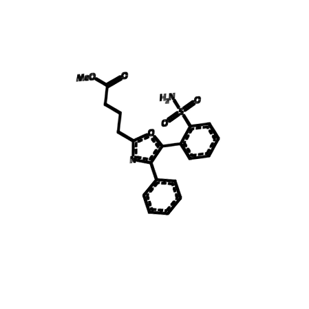 COC(=O)CCCc1nc(-c2ccccc2)c(-c2ccccc2S(N)(=O)=O)o1